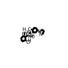 Cc1ccc(-n2cccn2)cc1S(=O)(=O)Nc1noc2cccc(Cl)c12